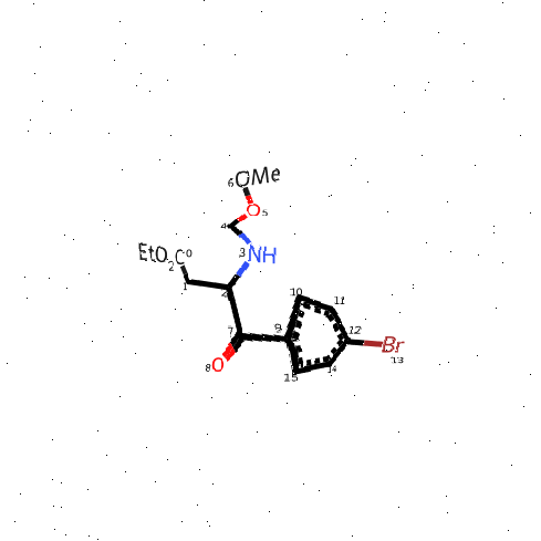 CCOC(=O)CC(NCOOC)C(=O)c1ccc(Br)cc1